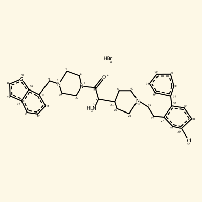 Br.NC(C(=O)N1CCN(Cc2cccc3ccsc23)CC1)C1CCN(CCc2cc(Cl)ccc2-c2ccccc2)CC1